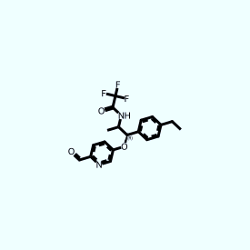 CCc1ccc([C@@H](Oc2ccc(C=O)nc2)C(C)NC(=O)C(F)(F)F)cc1